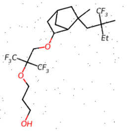 CCC(C)(CC1(C)CC2CC(OCC(OCCCO)(C(F)(F)F)C(F)(F)F)C1C2)C(F)(F)F